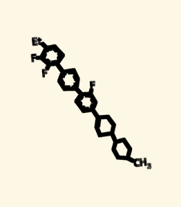 CCc1ccc(-c2ccc(-c3ccc(C4=CCC(C5CCC(C)CC5)CC4)cc3F)cc2)c(F)c1F